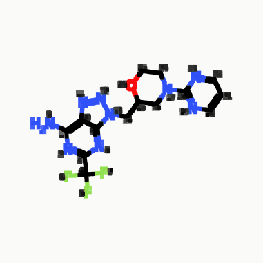 Nc1nc(C(F)(F)F)nc2c1nnn2CC1CN(c2ncccn2)CCO1